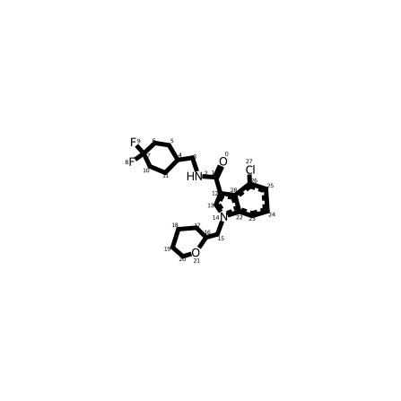 O=C(NCC1CCC(F)(F)CC1)c1cn(CC2CCCCO2)c2cccc(Cl)c12